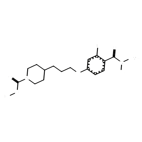 CON(C(=O)c1ccc(OCCCC2CCN(C(=O)OC(C)(C)C)CC2)cc1F)C(C)C